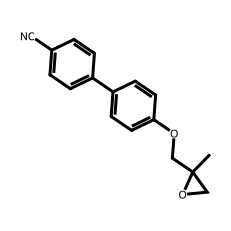 CC1(COc2ccc(-c3ccc(C#N)cc3)cc2)CO1